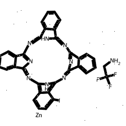 Ic1cccc2c3nc4nc(nc5[nH]c(nc6nc(nc([nH]3)c12)-c1ccccc1-6)c1ccccc51)-c1ccccc1-4.NCC(F)(F)F.[Zn]